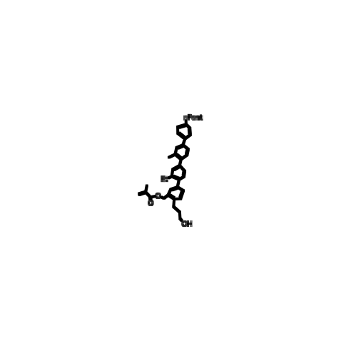 C=C(C)C(=O)OCc1cc(-c2ccc(-c3ccc(-c4ccc(CCCCC)cc4)cc3C)cc2CC)ccc1CCCO